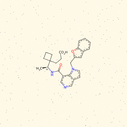 C[C@H](NC(=O)c1cncc2ccn(Cc3cc4ccccc4o3)c12)C1(CCC(=O)O)CCC1